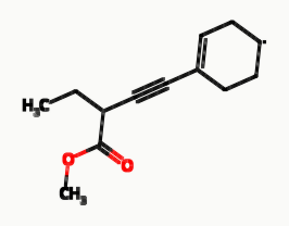 CCC(C#CC1=CC[CH]CC1)C(=O)OC